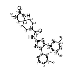 Cc1cccc(-c2nc(NC(=O)N3CCC4(CC3)CN(C)C(=O)N4)sc2-c2cc(C)nc(C)c2)c1